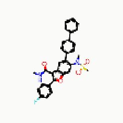 CNC(=O)c1c(-c2ccc(F)cc2)oc2cc(N(C)S(C)(=O)=O)c(-c3ccc(-c4ccccc4)cc3)cc12